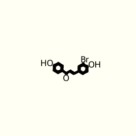 O=C(/C=C/c1ccc(O)c(Br)c1)c1ccc(O)cc1